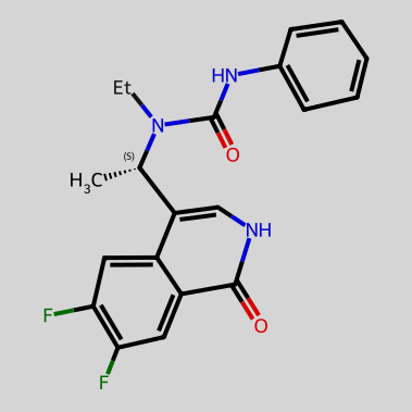 CCN(C(=O)Nc1ccccc1)[C@@H](C)c1c[nH]c(=O)c2cc(F)c(F)cc12